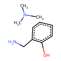 CN(C)C.NCc1ccccc1O